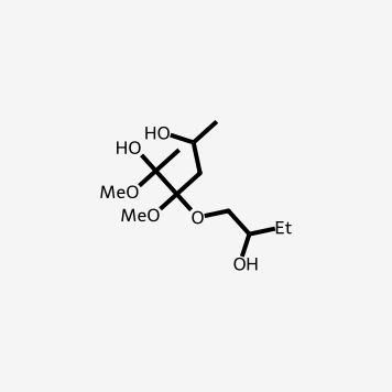 CCC(O)COC(CC(C)O)(OC)C(C)(O)OC